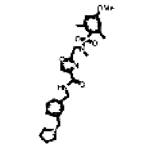 COc1cc(C)c(S(=O)(=O)N(C)Cc2nc(C(=O)NCc3cccc(CN4CCCC4)c3)co2)c(C)c1